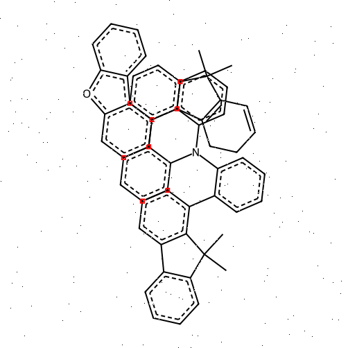 CC1(C)C2=C(CCC=C2)c2c(-c3ccccc3N(c3ccccc3-c3cccc4c3C(C)(C)c3ccccc3-4)c3ccccc3-c3cccc4oc5ccccc5c34)cccc21